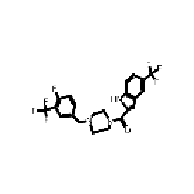 O=C(c1cc2cc(C(F)(F)F)ccc2[nH]1)N1CCN(Cc2ccc(F)c(C(F)(F)F)c2)CC1